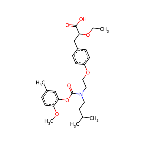 CCOC(Cc1ccc(OCCN(CCC(C)C)C(=O)Oc2cc(C)ccc2OC)cc1)C(=O)O